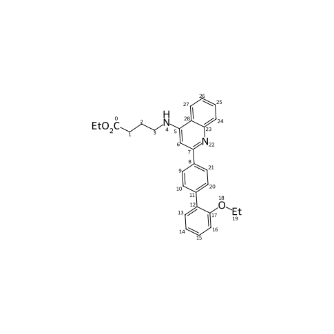 CCOC(=O)CCCNc1cc(-c2ccc(-c3ccccc3OCC)cc2)nc2ccccc12